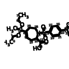 CCO[Si](C)(OCC)C1=CCC(C(=O)O)N(S(=O)(=O)c2ccc([N+](=O)[O-])cc2)CC1